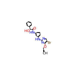 C#CCOc1nc(Nc2cccc(NC(=O)[C@H](O)c3ccccc3)c2)ncc1Br